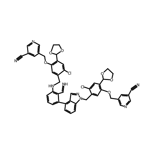 N#Cc1cncc(COc2cc(CNc3cccc(-c4cccc5c4cnn5Cc4cc(OCc5cncc(C#N)c5)c(C5OCCO5)cc4Cl)c3C=N)c(Cl)cc2C2OCCO2)c1